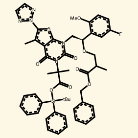 COc1ccc(F)cc1[C@H](Cn1c(=O)n(C(C)(C)C(=O)O[Si](c2ccccc2)(c2ccccc2)C(C)(C)C)c(=O)c2c(C)c(-n3nccn3)sc21)OCC(C)C(=O)OCc1ccccc1